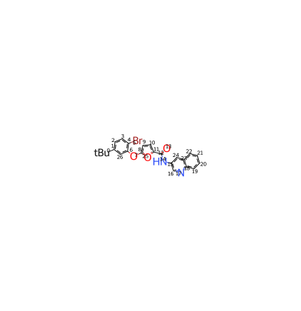 CC(C)(C)c1ccc(Br)c(Oc2ccc(C(=O)Nc3cnc4ccccc4c3)o2)c1